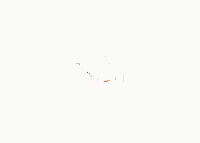 Cl[O][Zr].[AlH3]